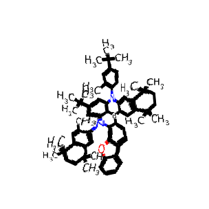 Cc1cc(C(C)(C)C)ccc1N1c2cc3c(cc2B2c4ccc5c(oc6ccccc65)c4N(c4cc5c(cc4C)C(C)(C)CCC5(C)C)c4cc(C(C)(C)C)cc1c42)C(C)(C)CCC3(C)C